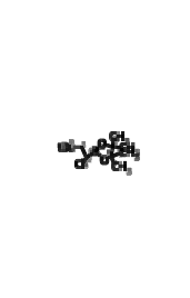 CC(C)(C)CC(Cl)B1OC(C)(C)C(C)(C)O1